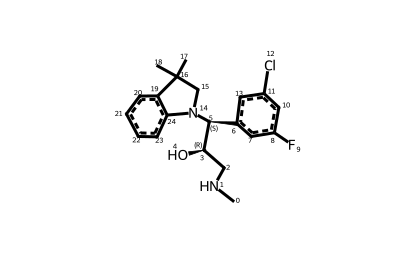 CNC[C@@H](O)[C@H](c1cc(F)cc(Cl)c1)N1CC(C)(C)c2ccccc21